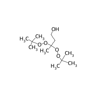 CC(C)(C)OOC(C)(CCO)OOC(C)(C)C